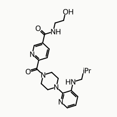 CC(C)CNc1cccnc1N1CCN(C(=O)c2ccc(C(=O)NCCO)cn2)CC1